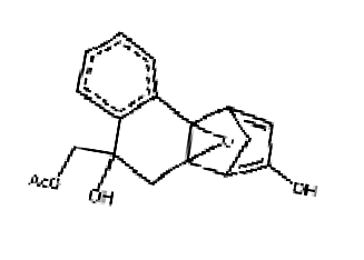 CC(=O)OCC1(O)CC23OC2(C2=CC(O)=C3C2)c2ccccc21